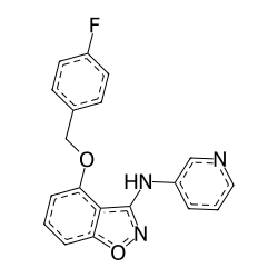 Fc1ccc(COc2cccc3onc(Nc4cccnc4)c23)cc1